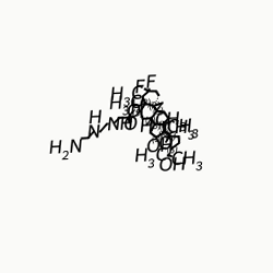 CC(C)(O)[C@@H]1CC[C@@](C)([C@H]2[C@@H](O)C[C@@]3(C)[C@@H]4C[C@H](OC(=O)CNCCNCCN)[C@H]5C(C)(C)C(F)(F)CC[C@@]56C[C@@]46CC[C@]23C)O1